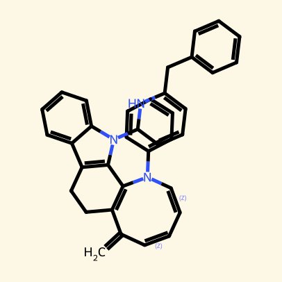 C=C1/C=C\C=C/N(c2ccccc2)C2=C1CCc1c2n(C2C=CC=C(Cc3ccccc3)N2)c2ccccc12